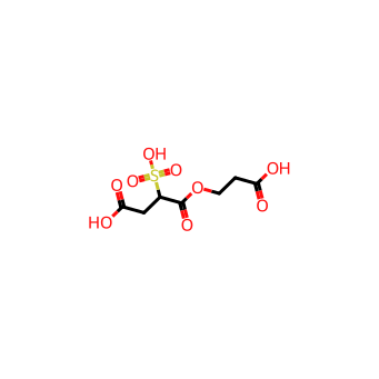 O=C(O)CCOC(=O)C(CC(=O)O)S(=O)(=O)O